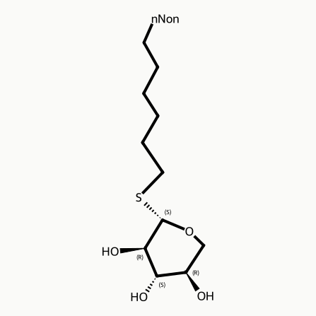 CCCCCCCCCCCCCCCS[C@@H]1OC[C@@H](O)[C@H](O)[C@H]1O